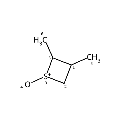 CC1C[S+]([O-])C1C